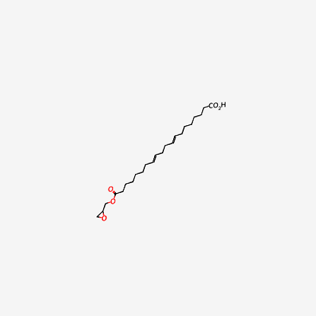 O=C(O)CCCCCCC=CCCC=CCCCCCCC(=O)OCC1CO1